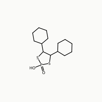 O=P1(O)SC(C2CCCCC2)C(C2CCCCC2)S1